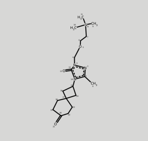 Cc1nn(COCC[Si](C)(C)C)c(=O)n1C1CC2(CCC(=O)CC2)C1